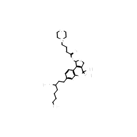 CCCCCC(C)CCc1ccc2c(c1)OC(C)(C)C1=C2C(OC(=O)CCCN2CCOCC2)SC1